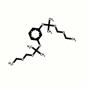 CCOCOC(C)(C)Oc1cccc(OC(C)(C)OCOCC)c1